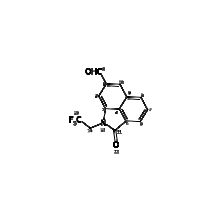 O=Cc1cc2c3c(cccc3c1)C(=O)N2CC(F)(F)F